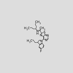 C=C(NC(CCC)CCC)c1nc2c(N3CC(CCC)c4cc(F)ccc43)ncnc2s1